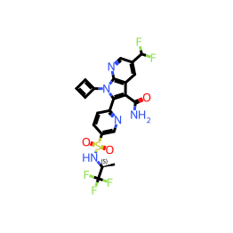 C[C@H](NS(=O)(=O)c1ccc(-c2c(C(N)=O)c3cc(C(F)F)cnc3n2C2=CC=C2)nc1)C(F)(F)F